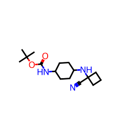 CC(C)(C)OC(=O)NC1CCC(NC2(C#N)CCC2)CC1